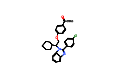 COC(=O)c1ccc(OCC(C2CCCCC2)n2c(-c3ccc(Cl)cc3)nc3ccccc32)cc1